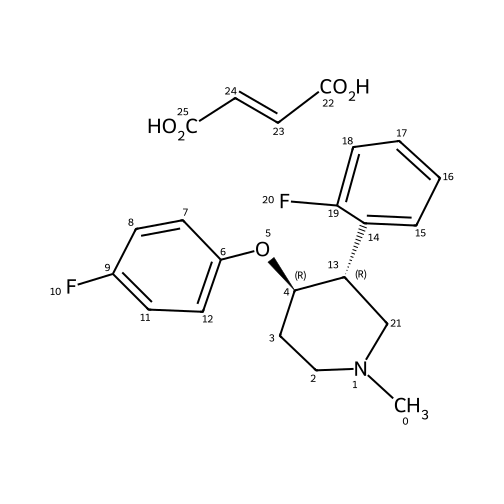 CN1CC[C@@H](Oc2ccc(F)cc2)[C@H](c2ccccc2F)C1.O=C(O)C=CC(=O)O